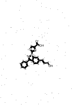 O=C(O)c1csc(-n2nc(-c3ccccc3)c3ccc(/C=C/CO)cc32)n1